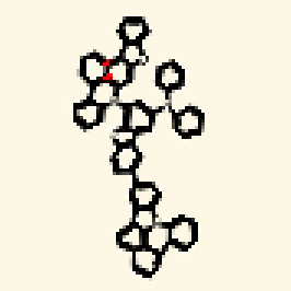 c1ccc(-c2ccccc2N(c2ccc3c(c2)oc2ccccc23)c2cc(N(c3ccccc3)c3ccccc3)cc3c2sc2ccc(-c4ccc5c(c4)c4ccc6cccc7c8ccccc8n5c4c67)cc23)cc1